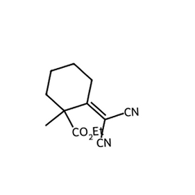 CCOC(=O)C1(C)CCCCC1=C(C#N)C#N